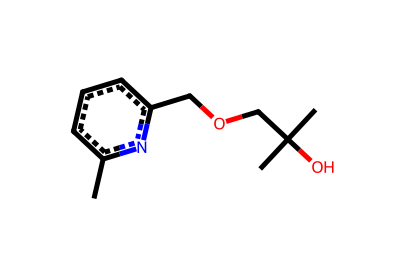 Cc1cccc(COCC(C)(C)O)n1